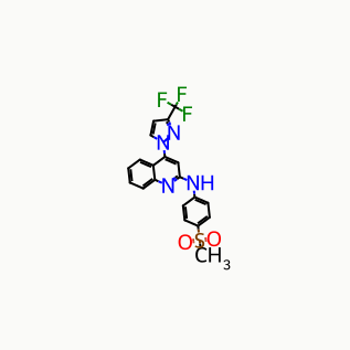 CS(=O)(=O)c1ccc(Nc2cc(-n3ccc(C(F)(F)F)n3)c3ccccc3n2)cc1